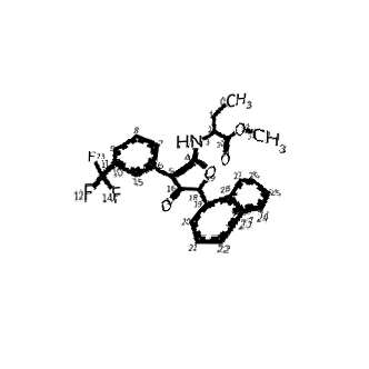 CCC(NC1=C(c2cccc(C(F)(F)F)c2)C(=O)C(c2cccc3ccccc23)O1)C(=O)OC